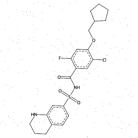 O=C(NS(=O)(=O)c1ccc2c(c1)NCCC2)c1cc(Cl)c(OCC2CCCC2)cc1F